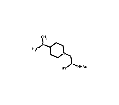 CC(=O)N[C@H](CN1CCC(N(C)C)CC1)C(C)C